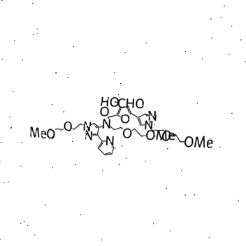 COCCOCCN(C(=O)c1ccc(-c2cnn(CCOCCOC)c2)o1)c1cn(CCOCCOC)nc1-c1ccccn1.O=CO